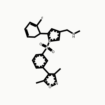 CNCc1cc(C2CC=CC=C2F)n(S(=O)(=O)c2cccc(-c3c(C)noc3C)c2)c1